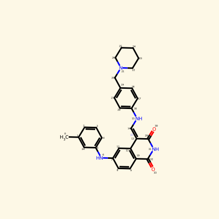 Cc1cccc(Nc2ccc3c(c2)/C(=C/Nc2ccc(CN4CCCCC4)cc2)C(=O)NC3=O)c1